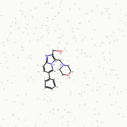 OCc1nc2ccc(-c3ccccc3)cn2c1CN1CCOCC1